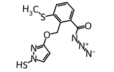 CSc1cccc(C(=O)N=[N+]=[N-])c1COc1ccn(S)n1